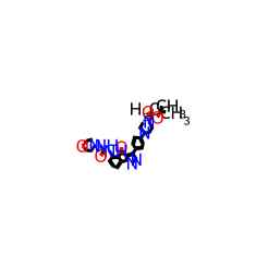 CC(C)(C)OC(=O)N1CCN(c2ccc(C3=C4C(=O)c5c(NC(=O)NN6CCOCC6)cccc5C4N=N3)cc2)CC1